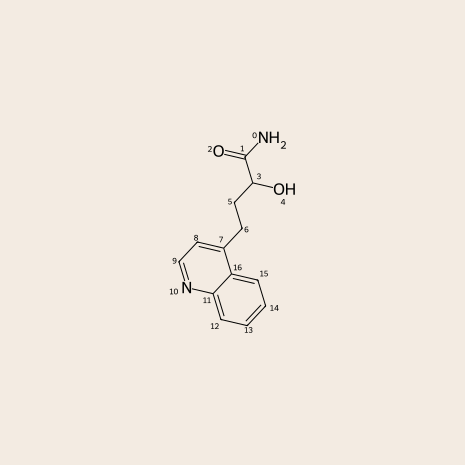 NC(=O)C(O)CCc1ccnc2ccccc12